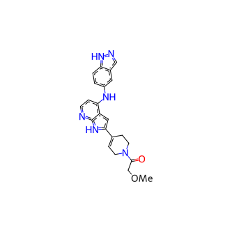 COCC(=O)N1CC=C(c2cc3c(Nc4ccc5[nH]ncc5c4)ccnc3[nH]2)CC1